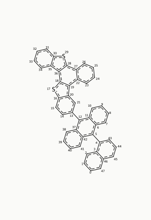 c1ccc2c(-c3c4ccccc4c(-c4ccc5sc6c(c5c4)c4ccccc4c4sc5ccccc5c46)c4ccccc34)cccc2c1